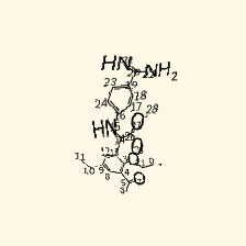 [CH2]COc1c(C(C)=O)cc(CC)cc1C(Nc1ccc(C(=N)N)cc1)C(=O)OC